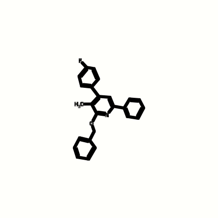 Cc1c(-c2ccc(F)cc2)cc(-c2ccccc2)nc1OCc1ccccc1